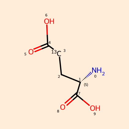 N[C@@H](C[13CH2]C(=O)O)C(=O)O